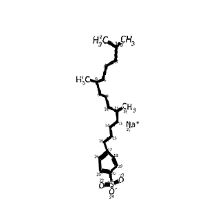 CC(C)CCCC(C)CCCC(C)CCCCc1ccc(S(=O)(=O)[O-])cc1.[Na+]